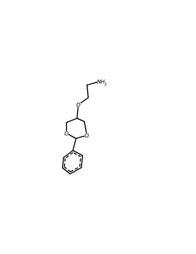 NCCOC1COC(c2ccccc2)OC1